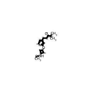 CSN[C@H]1C[C@@H](Oc2cc(CCC(=O)C(C)C)ccn2)C1